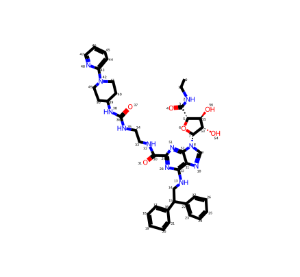 CCNC(=O)[C@H]1O[C@@H](n2cnc3c(NCC(c4ccccc4)c4ccccc4)nc(C(=O)NCCNC(=O)NC4CCN(c5ccccn5)CC4)nc32)[C@@H](O)[C@@H]1O